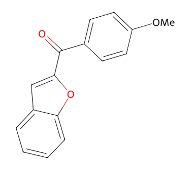 COc1ccc(C(=O)c2cc3ccccc3o2)cc1